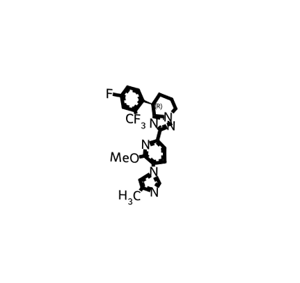 COc1nc(-c2nc3n(n2)CCC[C@@H]3c2ccc(F)cc2C(F)(F)F)ccc1-n1cnc(C)c1